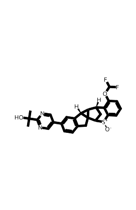 CC(C)(O)c1ncc(-c2ccc3c(c2)[C@@H]2C4[C@H]5CC([S@@+]([O-])c6cccc(OC(F)F)c65)C42C3)cn1